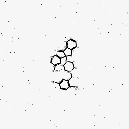 COc1cncc(C2(N3CCN(Cc4cc(F)ccc4C)CC3)Cc3ccccc3C2=O)c1